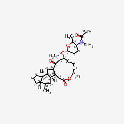 CC[C@H]1CCC[C@H](O[C@H]2CC[C@H](N(C)C(=O)C(C)C)C(C)O2)[C@@H](C)C(=O)C2=C[C@@H]3[C@@H](C=C(C)[C@@H]4CCC[C@@H]34)[C@@H]2CC(=O)O1